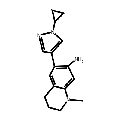 CN1CCCc2cc(-c3cnn(C4CC4)c3)c(N)cc21